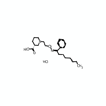 CCCCCCC/C(=N/OCCN1CCC[C@@H](C(=O)O)C1)c1ccccc1.Cl